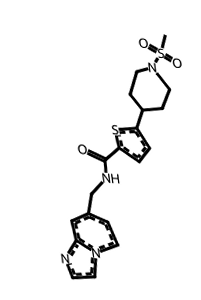 CS(=O)(=O)N1CCC(c2ccc(C(=O)NCc3ccn4ccnc4c3)s2)CC1